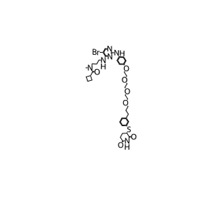 CN(CCCNc1nc(Nc2ccc(OCCOCCOCCOCCCc3cccc(SC4CCC(=O)NC4=O)c3)cc2)ncc1Br)C(=O)C1CCC1